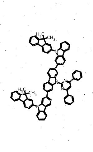 CC1(C)c2ccccc2-c2ccc(-n3c4ccccc4c4ccc(-c5ccc6c7ccc(-c8ccc9c%10ccccc%10n(-c%10ccc%11c(c%10)C(C)(C)c%10ccccc%10-%11)c9c8)cc7n(-c7nc(-c8ccccc8)cc(-c8ccccc8)n7)c6c5)cc43)cc21